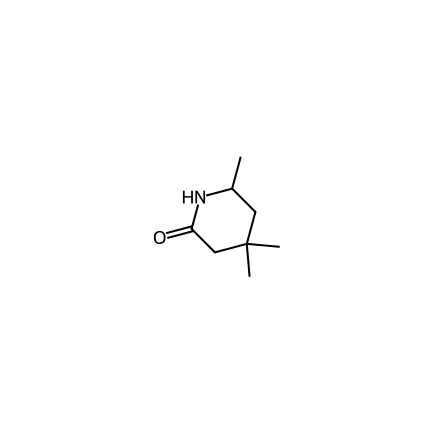 CC1CC(C)(C)CC(=O)N1